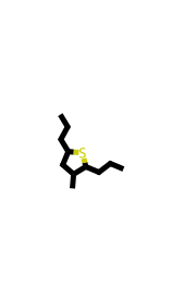 CCCC1CC(C)C(CCC)S1